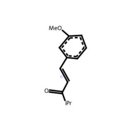 COc1cccc(/C=C/C(=O)C(C)C)c1